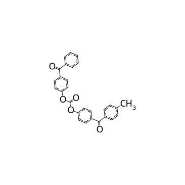 Cc1ccc(C(=O)c2ccc(OC(=O)Oc3ccc(C(=O)c4ccccc4)cc3)cc2)cc1